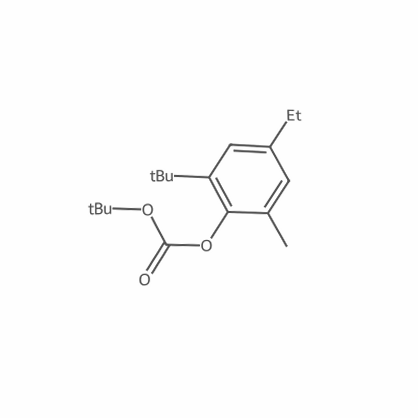 CCc1cc(C)c(OC(=O)OC(C)(C)C)c(C(C)(C)C)c1